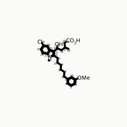 COc1cccc(CCCCCCc2c(C(O)CC(C)CC(=O)O)c3cc(Cl)ccc3n2C)c1